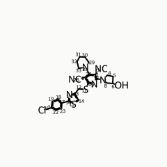 [C-]#[N+]c1c(N2CCC(O)C2)nc(SCc2csc(-c3ccc(Cl)cc3)n2)c(C#N)c1N1CCCCC1